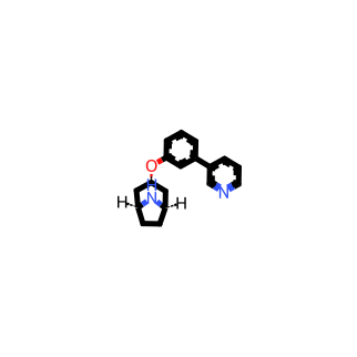 c1cncc(-c2cccc(O[C@@H]3C[C@H]4CC[C@@H](C3)N4)c2)c1